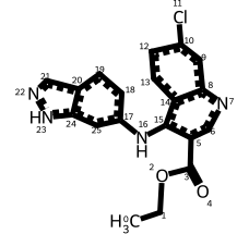 CCOC(=O)c1cnc2cc(Cl)ccc2c1Nc1ccc2cn[nH]c2c1